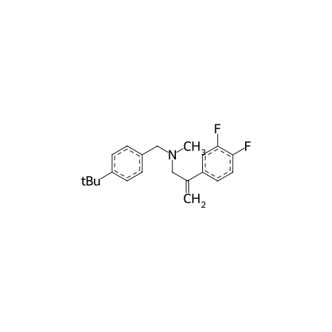 C=C(CN(C)Cc1ccc(C(C)(C)C)cc1)c1ccc(F)c(F)c1